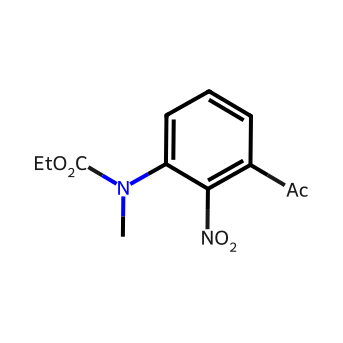 CCOC(=O)N(C)c1cccc(C(C)=O)c1[N+](=O)[O-]